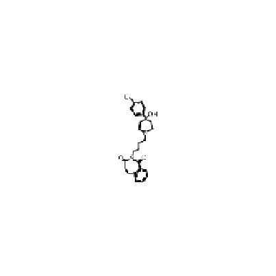 O=C1CCc2ccccc2C(=O)N1CCCCN1CCC(O)(c2ccc(Cl)cc2)CC1